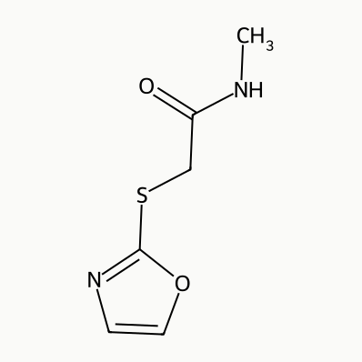 CNC(=O)CSc1ncco1